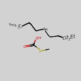 CCOC(=O)C[CH2][Sn][CH2]CC(=O)OCC.CSC(=O)O